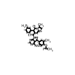 CC[C@@H](c1cc2scc(C)n2c(=O)c1-c1cccc(P)c1)n1nc(-c2ccc(OC(C)F)c(C)c2)c2c(NC)ncnc21